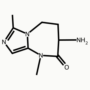 Cc1ncc2n1CCC(N)C(=O)N2C